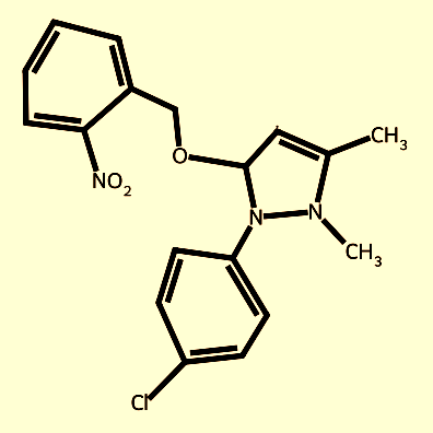 CC1=[C]C(OCc2ccccc2[N+](=O)[O-])N(c2ccc(Cl)cc2)N1C